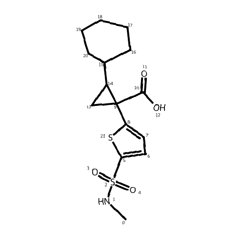 CNS(=O)(=O)c1ccc(C2(C(=O)O)CC2C2CCCCC2)s1